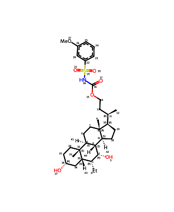 CC[C@H]1[C@@H](O)[C@@H]2[C@H](CC[C@]3(C)[C@@H]([C@H](C)CCOC(=O)NS(=O)(=O)c4cccc(OC)c4)CC[C@@H]23)[C@@]2(C)CC[C@@H](O)C[C@@H]12